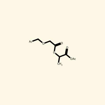 CC(=O)COCC(=O)OC(C)C(=O)OC(C)=O